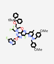 COc1ccc(CN(Cc2ccc(OC)cc2)c2cc(C)cc(-c3nc4c5c(nc(OC[C@@]67CCCN6C[C@H](F)C7)nc5c3F)N(CC(F)F)[C@@H](CCO[Si](c3ccccc3)(c3ccccc3)C(C)(C)C)CO4)n2)cc1